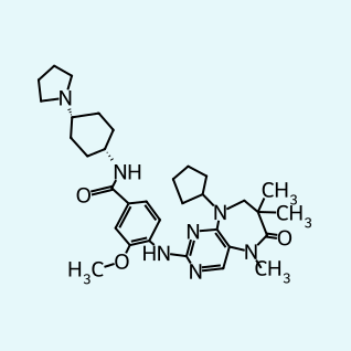 COc1cc(C(=O)N[C@H]2CC[C@@H](N3CCCC3)CC2)ccc1Nc1ncc2c(n1)N(C1CCCC1)CC(C)(C)C(=O)N2C